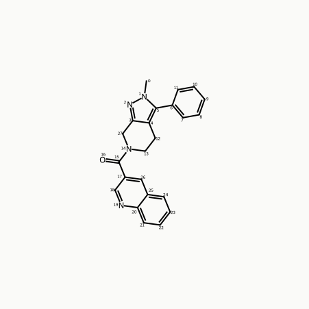 Cn1nc2c(c1-c1ccccc1)CCN(C(=O)c1cnc3ccccc3c1)C2